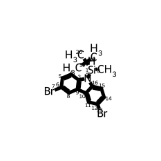 C[SiH](n1c2ccc(Br)cc2c2cc(Br)ccc21)C(C)(C)C